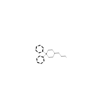 CCCCC1CCC(c2ccccc2)(c2ccccc2)CC1